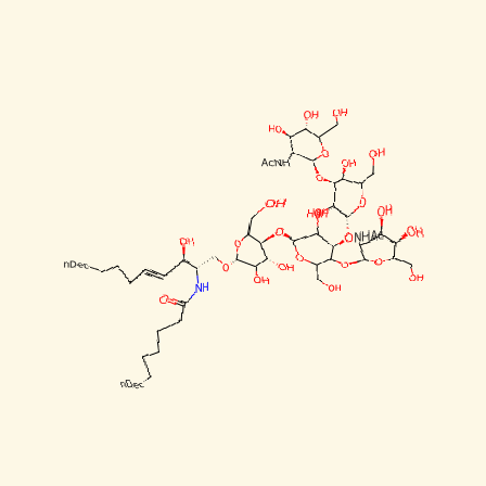 CCCCCCCCCCCCC/C=C/[C@@H](O)[C@H](CO[C@@H]1OC(CO)[C@@H](O[C@@H]2OC(CO)[C@H](O[C@@H]3OC(CO)[C@H](O)[C@H](O)C3NC(C)=O)[C@H](O[C@H]3OC(CO)[C@H](O)[C@H](O[C@@H]4OC(CO)[C@@H](O)[C@H](O)C4NC(C)=O)C3O)C2O)[C@H](O)C1O)NC(=O)CCCCCCCCCCCCCCC